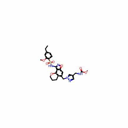 CCc1ccc(S(=O)(=O)Nc2noc3cc(Cn4cc(CNC(=O)OC)cn4)c4c(c23)OCCC4)c(OC)c1